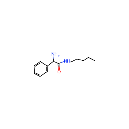 CCCCCNC(=O)C(N)c1ccccc1